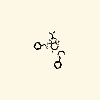 C[C@H]1[C@H](OCc2ccccc2)[C@H]2N=C(N(C)C)S[C@H]2O[C@@H]1C(CF)OCc1ccccc1